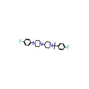 CC(C)(c1ccc(F)cc1)N1CCC(N2CCN(c3ccc(F)cc3)CC2)CC1